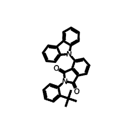 CC(C)(C)c1ccccc1N1C(=O)c2cccc(-n3c4ccccc4c4ccccc43)c2C1=O